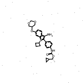 C[C@@H](OC(=O)Nc1ccc(-c2c(N)c3ccc(OC4COCOC4)cc3n2C2CCC2)cc1)C1CC1